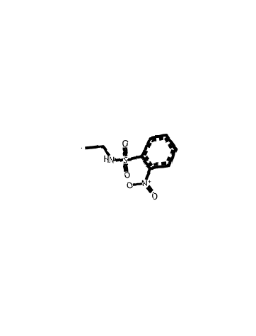 [CH2]CNS(=O)(=O)c1ccccc1[N+](=O)[O-]